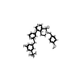 COc1ccc(CN2CCc3c(cncc3-c3ccnc(Cc4cc(F)cc(C(F)(F)F)c4)c3)C2=O)cc1